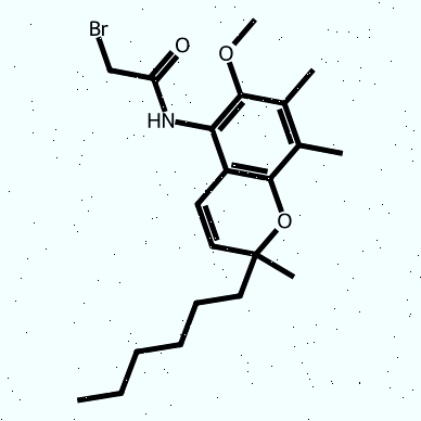 CCCCCCC1(C)C=Cc2c(NC(=O)CBr)c(OC)c(C)c(C)c2O1